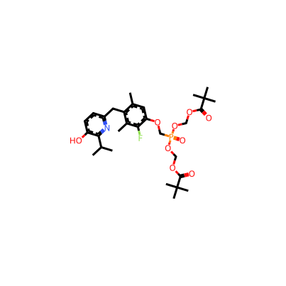 Cc1cc(OCP(=O)(OCOC(=O)C(C)(C)C)OCOC(=O)C(C)(C)C)c(F)c(C)c1Cc1ccc(O)c(C(C)C)n1